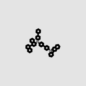 c1ccc(-c2ccc(N(c3ccc(-c4ccc(-n5c6ccccc6c6cc7ccccc7cc65)cc4)cc3)c3ccc(-c4cccc5ccccc45)c4ccccc34)cc2)cc1